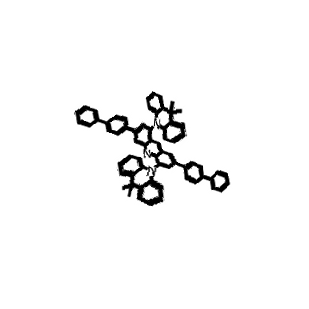 CC1(C)c2ccccc2N(c2cc(-c3ccc(-c4ccccc4)cc3)cc3nc4c(N5c6ccccc6C(C)(C)c6ccccc65)cc(-c5ccc(-c6ccccc6)cc5)cc4cc23)c2ccccc21